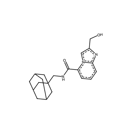 O=C(NCC12CC3CC(CC(C3)C1)C2)c1cccc2nc(CO)cn12